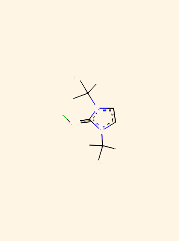 CCC(CC)(CC)n1ccn(C(CC)(CC)CC)[c]1=[Ag-2][Cl]